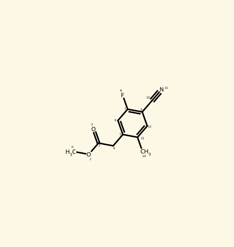 COC(=O)Cc1cc(F)c(C#N)cc1C